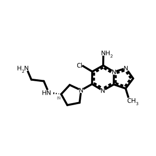 Cc1cnn2c(N)c(Cl)c(N3CC[C@H](NCCN)C3)nc12